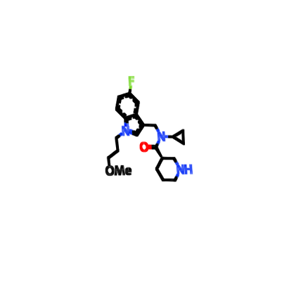 COCCCn1cc(CN(C(=O)[C@@H]2CCCNC2)C2CC2)c2cc(F)ccc21